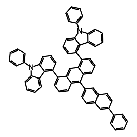 c1ccc(-c2ccc3cc(-c4c5cccc(-c6cccc7c6c6ccccc6n7-c6ccccc6)c5cc5c(-c6cccc7c6c6ccccc6n7-c6ccccc6)cccc45)ccc3c2)cc1